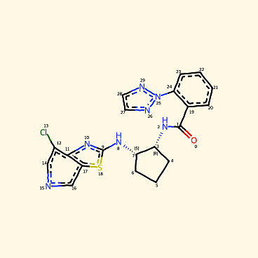 O=C(N[C@@H]1CCC[C@@H]1Nc1nc2c(Cl)cncc2s1)c1ccccc1-n1nccn1